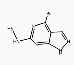 SNc1nc(Br)c2cn[nH]c2n1